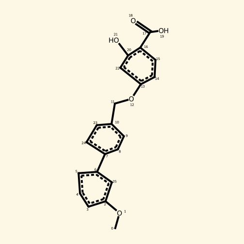 COc1cccc(-c2ccc(COc3ccc(C(=O)O)c(O)c3)cc2)c1